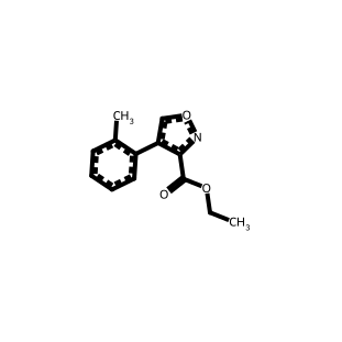 CCOC(=O)c1nocc1-c1ccccc1C